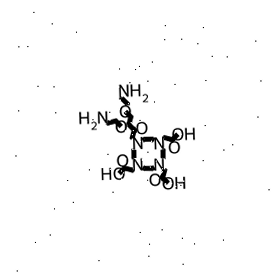 NCCOCC(OCCN)C(=O)CN1CCN(CC(=O)O)CCN(CC(=O)O)CCN(CC(=O)O)CC1